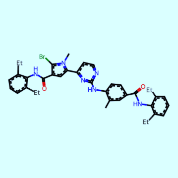 CCc1cccc(CC)c1NC(=O)c1ccc(Nc2nccc(-c3cc(C(=O)Nc4c(CC)cccc4CC)c(Br)n3C)n2)c(C)c1